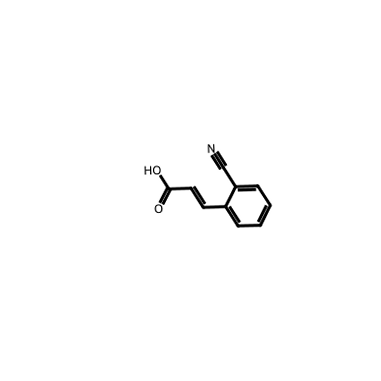 N#Cc1ccccc1C=CC(=O)O